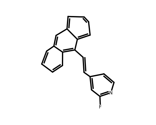 Fc1cc(/C=C/c2c3ccccc3cc3ccccc23)ccn1